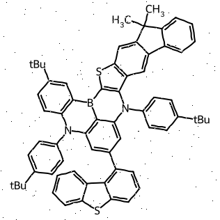 CC(C)(C)c1ccc(N2c3ccc(C(C)(C)C)cc3B3c4sc5cc6c(cc5c4N(c4ccc(C(C)(C)C)cc4)c4cc(-c5cccc7sc8ccccc8c57)cc2c43)-c2ccccc2C6(C)C)cc1